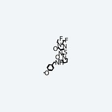 CCn1c(C(F)F)nc2sc(N3CCC[C@@H]3C(=O)NCc3ccc(OC)cc3)nc2c1=O